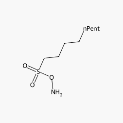 CCCCCCCCCS(=O)(=O)ON